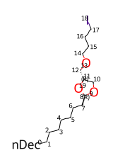 CCCCCCCCCCCCCCCCC[C@@H]1OC[C@@H](COCCCCI)O1